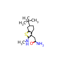 CNc1sc2c(c1CC(N)=O)CCC(C(C)(C)C)C2